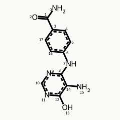 NC(=O)c1ccc(Nc2ncnc(O)c2N)cc1